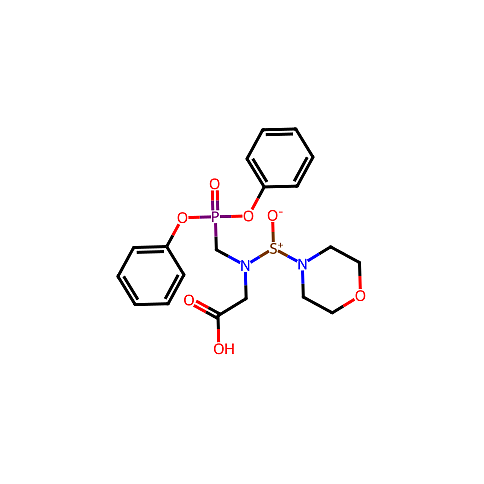 O=C(O)CN(CP(=O)(Oc1ccccc1)Oc1ccccc1)[S+]([O-])N1CCOCC1